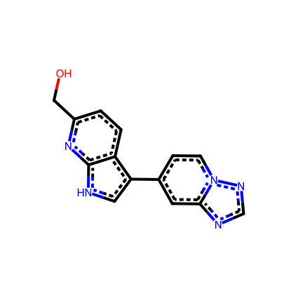 OCc1ccc2c(-c3ccn4ncnc4c3)c[nH]c2n1